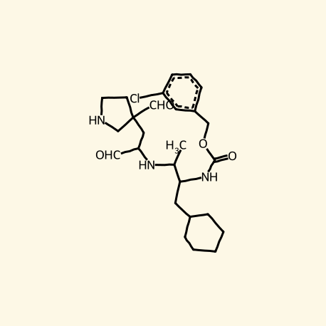 CC(NC(C=O)CC1(C=O)CCNC1)C(CC1CCCCC1)NC(=O)OCc1cccc(Cl)c1